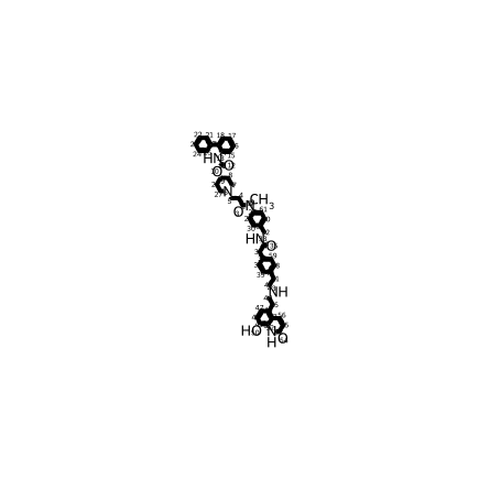 CN(C(=O)CCN1CCC(OC(=O)Nc2ccccc2-c2ccccc2)CC1)c1ccc(CNC(=O)Cc2ccc(CCNCCc3ccc(O)c4[nH]c(=O)ccc34)cc2)cc1